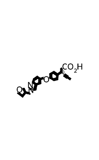 CC#C[C@@H](CC(=O)O)c1ccc(OCc2ccc3nn(CC4CCOC4)cc3c2)cc1